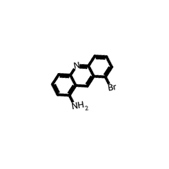 Nc1cccc2nc3cccc(Br)c3cc12